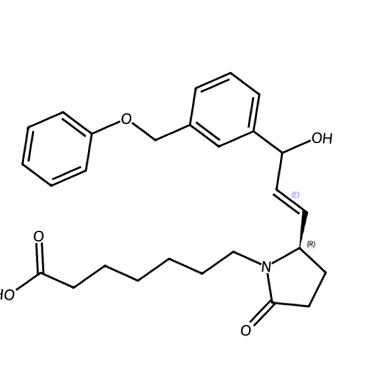 O=C(O)CCCCCCN1C(=O)CC[C@@H]1/C=C/C(O)c1cccc(COc2ccccc2)c1